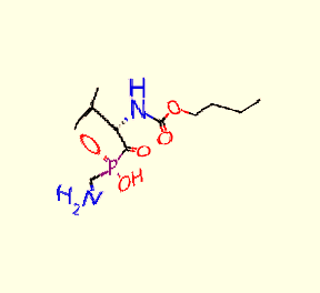 CCCCOC(=O)N[C@H](C(=O)P(=O)(O)CN)C(C)C